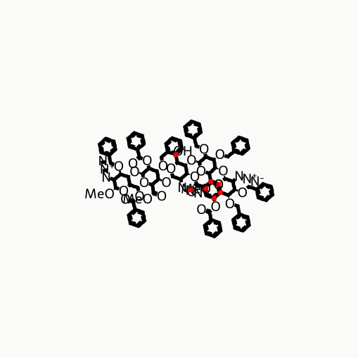 COC(=O)C1O[C@@H](O[C@@H]2C(CO)O[C@@H](O[C@H]3C(C(=O)OC)O[C@@H](O[C@@H]4C(COC(=O)c5ccccc5)O[C@H](OC)C(N=[N+]=[N-])[C@H]4OCc4ccccc4)C(OC(=O)c4ccccc4)[C@@H]3OCc3ccccc3)C(N=[N+]=[N-])[C@H]2OC(=O)c2ccccc2)C(OCc2ccccc2)[C@@H](OCc2ccccc2)[C@@H]1O[C@H]1OC(COC(=O)c2ccccc2)[C@@H](OCc2ccccc2)[C@H](OCc2ccccc2)C1N=[N+]=[N-]